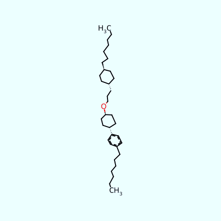 CCCCCCCc1ccc([C@H]2CC[C@H](OCCC[C@H]3CC[C@H](CCCCCCC)CC3)CC2)cc1